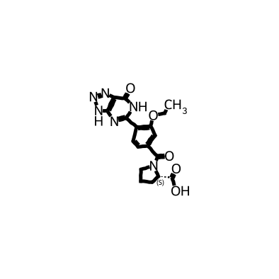 CCOc1cc(C(=O)N2CCC[C@H]2C(=O)O)ccc1-c1nc2[nH]nnc2c(=O)[nH]1